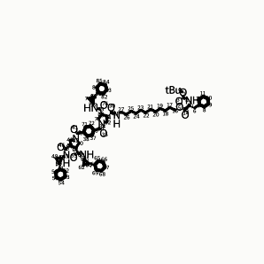 CC(C)(C)OC(=O)N[C@@H](Cc1ccccc1)C(=O)OCCCCCCCCCCCCNC(=O)[C@@H]1CN(C(=O)c2ccc(C(=O)N3C[C@@H](C(=O)N[C@H]4C[C@@H]4c4ccccc4)[C@H](C(=O)N[C@H]4C[C@@H]4c4ccccc4)C3)cc2)C[C@H]1C(=O)N[C@H]1C[C@@H]1c1ccccc1